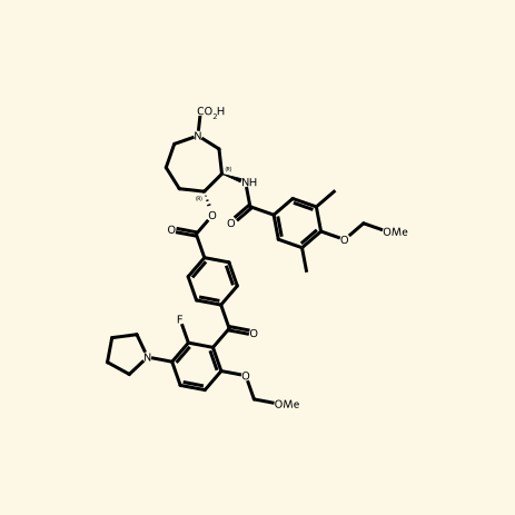 COCOc1ccc(N2CCCC2)c(F)c1C(=O)c1ccc(C(=O)O[C@@H]2CCCN(C(=O)O)C[C@H]2NC(=O)c2cc(C)c(OCOC)c(C)c2)cc1